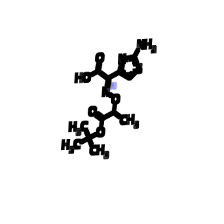 CC(O/N=C(/C(=O)O)c1csc(N)n1)C(=O)OC(C)(C)C